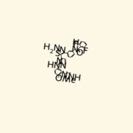 COc1ccc(Nc2nccc(-c3sc(N)nc3-c3cccc(NC(=O)c4c(F)cccc4F)c3)n2)cc1N1CCNCC1